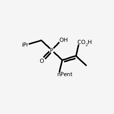 CCCCCC(=C(C)C(=O)O)P(=O)(O)CC(C)C